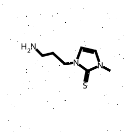 Cn1ccn(CCCN)c1=S